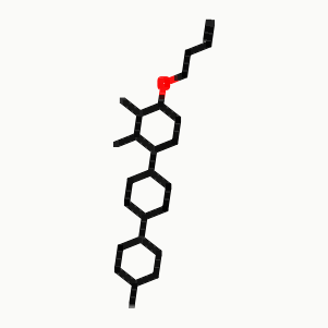 C=CCCOC1CCC(C2CCC(C3CCC(C)CC3)CC2)C(C)C1C